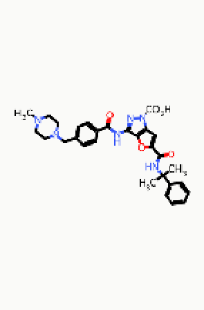 CN1CCN(Cc2ccc(C(=O)Nc3nn(C(=O)O)c4cc(C(=O)NC(C)(C)c5ccccc5)oc34)cc2)CC1